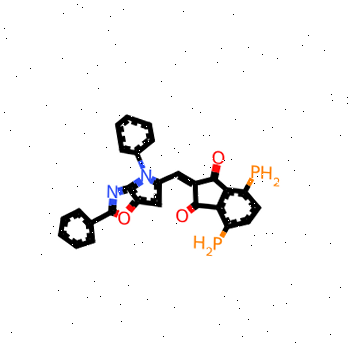 O=C1C(=Cc2cc3oc(-c4ccccc4)nc3n2-c2ccccc2)C(=O)c2c(P)ccc(P)c21